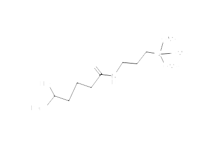 CCCCCC(O)CCCC(=O)NCCC[Si](OC)(OC)OC